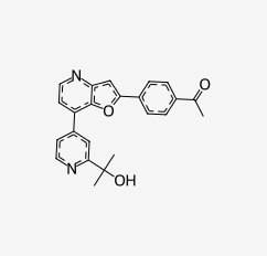 CC(=O)c1ccc(-c2cc3nccc(-c4ccnc(C(C)(C)O)c4)c3o2)cc1